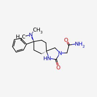 CN(C)[C@]1(c2ccccc2)CC[C@]2(CC1)CN(CC(N)=O)C(=O)N2